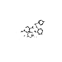 CCOc1cc(C(C)(C)C)ncc1C1=N[C@@](C)(c2ccc(Cl)cc2)[C@@](C)(c2ccc(Cl)cc2)N1C(=O)N1CCC(S(C)(=O)=O)CC1C